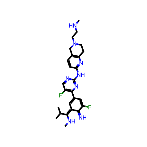 CNCCN1CCc2nc(Nc3ncc(F)c(C4=C/C(=C(/NC)C(C)C)C(=N)C(F)=C4)n3)ccc2C1